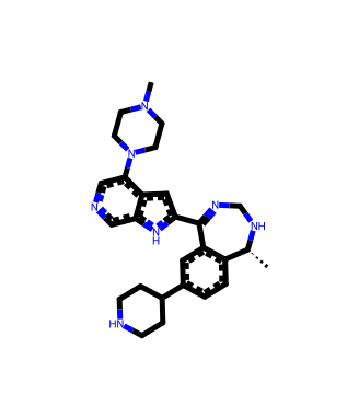 C[C@H]1NCN=C(c2cc3c(N4CCN(C)CC4)cncc3[nH]2)c2cc(C3CCNCC3)ccc21